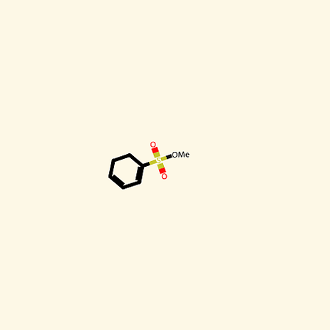 COS(=O)(=O)C1=CC=CCC1